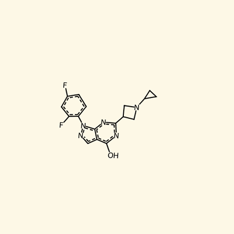 Oc1nc(C2CN(C3CC3)C2)nc2c1cnn2-c1ccc(F)cc1F